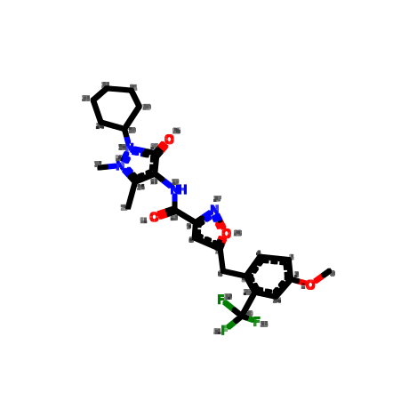 COc1ccc(Cc2cc(C(=O)Nc3c(C)n(C)n(C4CCCCC4)c3=O)no2)c(C(F)(F)F)c1